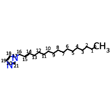 CCCCCCCCCCCCCCC=CCn1ccnc1